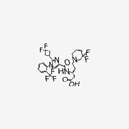 O=C(O)C[C@H](CCN1CCCC(F)(F)C1)NC(=O)c1cn(-c2ccccc2C(F)(F)F)c(C2CC(F)(F)C2)n1